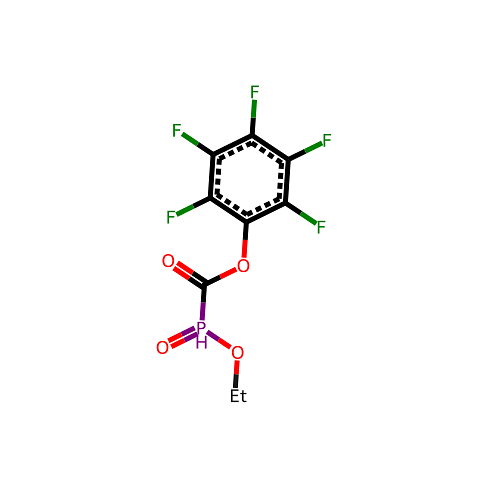 CCO[PH](=O)C(=O)Oc1c(F)c(F)c(F)c(F)c1F